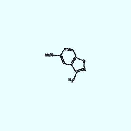 CNc1ccc2onc(C)c2c1